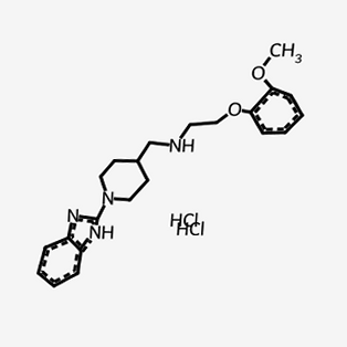 COc1ccccc1OCCNCC1CCN(c2nc3ccccc3[nH]2)CC1.Cl.Cl